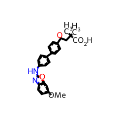 COc1ccc2nc(Nc3ccc(-c4ccc(C(=O)CC(C)(C)C(=O)O)cc4)cc3)oc2c1